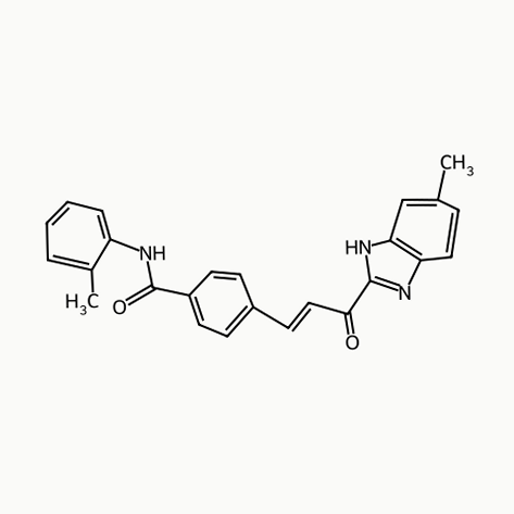 Cc1ccc2nc(C(=O)C=Cc3ccc(C(=O)Nc4ccccc4C)cc3)[nH]c2c1